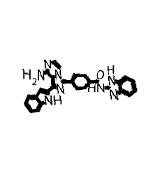 Nc1nccn2c(C3CCC(C(=O)Nc4nc5ccccc5[nH]4)CC3)nc(-c3cc4ccccc4[nH]3)c12